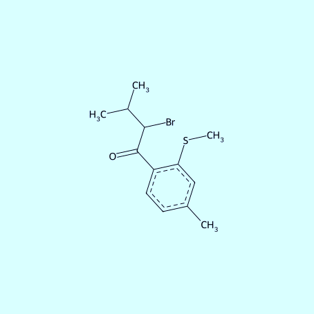 CSc1cc(C)ccc1C(=O)C(Br)C(C)C